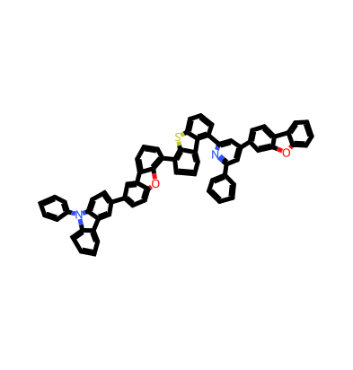 c1ccc(-c2cc(-c3ccc4c(c3)oc3ccccc34)cc(-c3cccc4sc5c(-c6cccc7c6oc6ccc(-c8ccc9c(c8)c8ccccc8n9-c8ccccc8)cc67)cccc5c34)n2)cc1